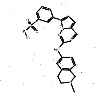 CN1CCc2cc(Nc3ncc4ccc(-c5cccc(S(=O)(=O)NC(C)(C)C)c5)n4n3)ccc2C1